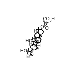 CCO[C@@H]([C@H]1C[C@@H](C)[C@H]2[C@H](O1)[C@H](O)[C@@]1(C)[C@@H]3CC[C@H]4C(C)(C)C(OC(=O)N(C)CC(=O)O)CC[C@@]45C[C@@]35CC[C@]21C)C(C)(C)O